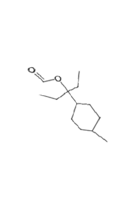 CCC(CC)(OC=O)C1CCC(C)CC1